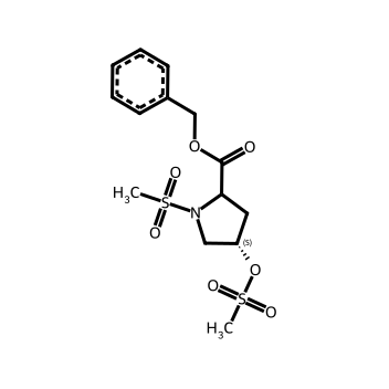 CS(=O)(=O)O[C@H]1CC(C(=O)OCc2ccccc2)N(S(C)(=O)=O)C1